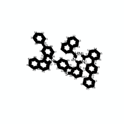 N=C(/N=C(\N=C\c1cccc2ccccc12)c1cccc2sc3cc(-n4c5ccc(-c6ccccc6)cc5c5c6ccccc6ccc54)ccc3c12)c1ccccc1-c1ccc(-c2ccccc2)cc1